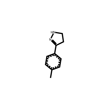 Cc1ccc(C2=NNCC2)cc1